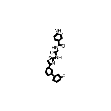 Nc1ccc(C(=O)NCC(=O)Nc2nc(-c3cccc(-c4cccc(F)c4)c3)cs2)cc1